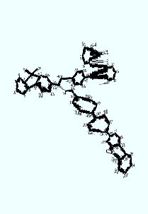 CC1(C)c2ccccc2-c2ccc([C@@H](CCc3ccc(-c4ccc(-c5ccc6c(c5)oc5ccccc56)cc4)cc3)Cc3ccc(-c4ccccc4-c4ccccc4)cc3)cc21